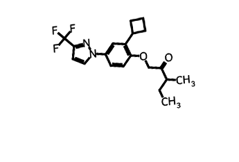 CCC(C)C(=O)COc1ccc(-n2ccc(C(F)(F)F)n2)cc1C1CCC1